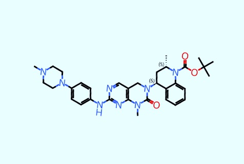 C[C@H]1C[C@H](N2Cc3cnc(Nc4ccc(N5CCN(C)CC5)cc4)nc3N(C)C2=O)c2ccccc2N1C(=O)OC(C)(C)C